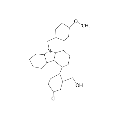 COC1CCC(CN2C3CCCCC3C3C(C4CCC(Cl)CC4CO)CCCC32)CC1